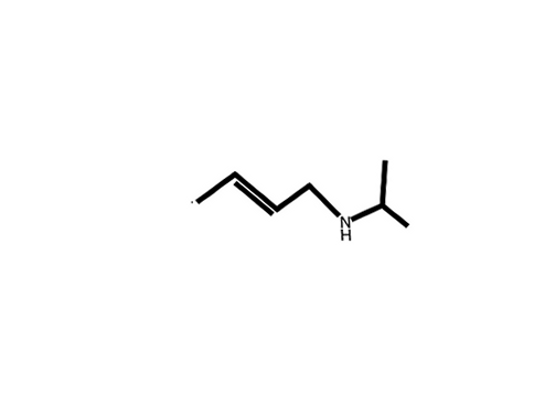 [CH2]C=CCNC(C)C